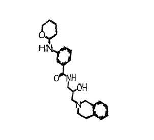 O=C(NCC(O)CN1CCc2ccccc2C1)c1cccc(NC2CCCCO2)c1